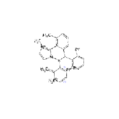 C=C(/C(B1C(c2c(C(C)C)cccc2C(C)C)c2cccc(C)c2-c2n1cc[n+]2C)=C(\C=C/C)C(C)C)C(C)C